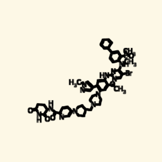 COc1cc(N2CCN(CC3CCN(c4ccc(C(=O)NC5CCC(=O)NC5=O)nc4)CC3)CC2)c(-c2cnn(C)c2)cc1Nc1ncc(Br)c(Nc2ccc(-c3ccccc3)cc2P(C)(C)=O)n1